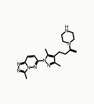 C=C(CCc1c(C)nn(-c2ccc3nnc(C)n3n2)c1C)N1CCNCC1